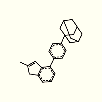 CC1=Cc2c(cccc2-c2ccc(C34CC5CC(CC(C5)C3)C4)cc2)[CH]1